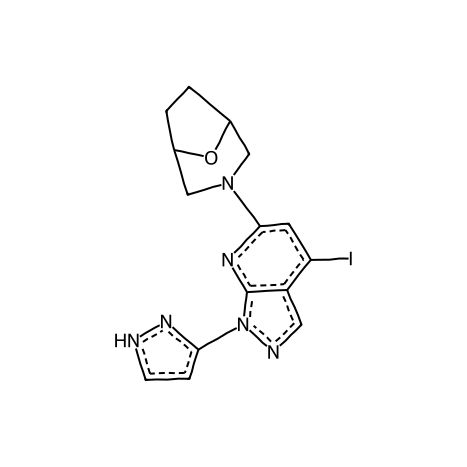 Ic1cc(N2CC3CCC(C2)O3)nc2c1cnn2-c1cc[nH]n1